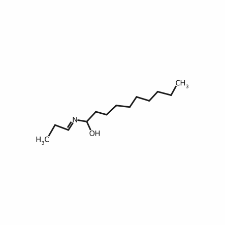 CCC=NC(O)CCCCCCCCC